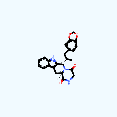 CC(Cc1ccc2c(c1)OCO2)[C@H]1c2[nH]c3ccccc3c2C[C@@H]2C(=O)NCC(=O)N21